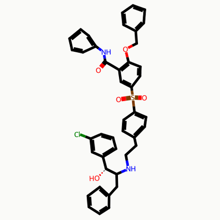 O=C(Nc1ccccc1)c1cc(S(=O)(=O)c2ccc(CCNC(Cc3ccccc3)[C@H](O)c3cccc(Cl)c3)cc2)ccc1OCc1ccccc1